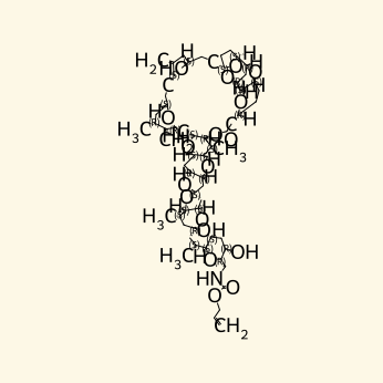 C=CCOC(=O)NC[C@H]1O[C@@H]2[C@H](C[C@H]1O)O[C@@]1(C[C@@H]2C)C[C@H](C)[C@@H]2O[C@]3(C[C@@H]2O1)C[C@H]1O[C@H]2[C@H](C)[C@H]4OC(=O)C[C@H]5CC[C@@H]6O[C@@H]7C[C@@H](O[C@@]8(CC[C@H]9CC(=C)[C@H](CC[C@H]%10C[C@@H](C)C(=C)[C@@H](C[C@@H]4O[C@H]2C[C@H]1O3)O%10)O9)CC[C@@H]7O8)[C@H]6O5